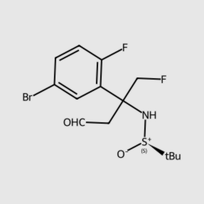 CC(C)(C)[S@@+]([O-])NC(CF)(CC=O)c1cc(Br)ccc1F